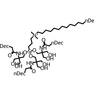 CCCCCCCCCCCCCCCCCCCCCC[N+](C)(C)CCC[Si](OCC(CO)(CO)NC(=O)CCCCCCCCCCC)(OCC(CO)(CO)NC(=O)CCCCCCCCCCC)OCC(CO)(CO)NC(=O)CCCCCCCCCCC